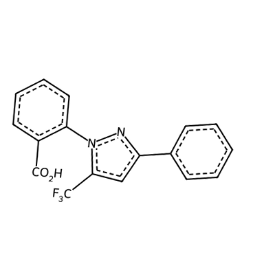 O=C(O)c1ccccc1-n1nc(-c2ccccc2)cc1C(F)(F)F